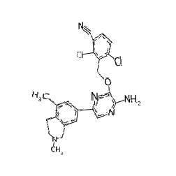 Cc1cc(-c2cnc(N)c(OCc3c(Cl)ccc(C#N)c3Cl)n2)cc2c1CCN(C)C2